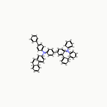 c1ccc(-c2ccc(N(c3ccc(-c4ccc5c(c4)-c4ccccc4-c4ccccc4N5c4ccccc4)cc3)c3ccc4c(ccc5ccccc54)c3)cc2)cc1